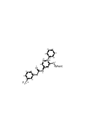 CCCCCOc1cc(=NC(=O)Cc2cccc(C(F)(F)F)c2)cnn1-c1ccccc1